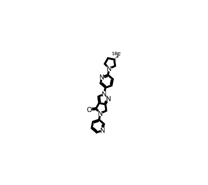 O=C1c2cn(-c3ccc(N4CC[C@H]([18F])C4)nc3)nc2CN1c1cccnc1